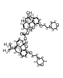 CN1CC[C@]23c4c5ccc(OCCN6CCOCC6)c4O[C@H]2[C@@H](OC(=O)O[C@H]2C=C[C@@H]4C6c7c(ccc(OCCN8CCOCC8)c7O[C@H]62)C[C@H]4N(C)C)C=C[C@H]3C1C5